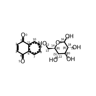 O=C1C=CC(=O)c2ccccc21.OC[C@H]1OC(O)[C@H](O)[C@@H](O)[C@@H]1O